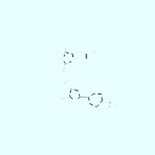 CCCCc1oc(-c2ccc(C(F)(F)F)cc2)cc1CCSc1nc(C)c(CC(=O)O)s1